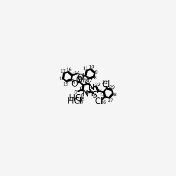 CC1=C(C(=O)O)[C@H](c2ccccc2OCc2ccccc2)N2C=C(c3c(Cl)cccc3Cl)SC2=N1.Cl.Cl